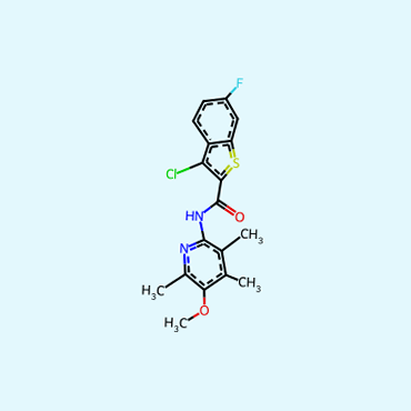 COc1c(C)nc(NC(=O)c2sc3cc(F)ccc3c2Cl)c(C)c1C